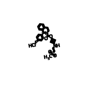 CS(=O)(=O)CCNC12CC(OC(=O)N3CCc4ccccc4[C@@H]3c3ccc(F)cc3)(C1)C2.Cl